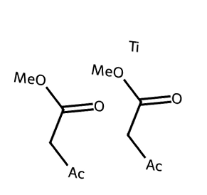 COC(=O)CC(C)=O.COC(=O)CC(C)=O.[Ti]